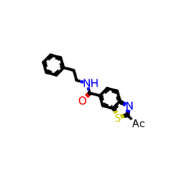 CC(=O)c1nc2ccc(C(=O)NCCc3ccccc3)cc2s1